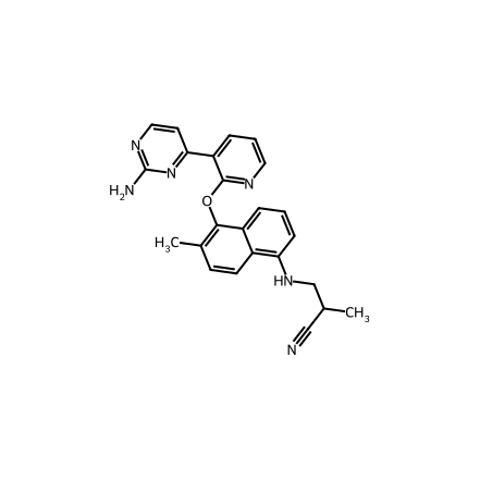 Cc1ccc2c(NCC(C)C#N)cccc2c1Oc1ncccc1-c1ccnc(N)n1